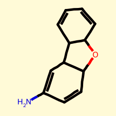 NC1=CC2C(C=C1)OC1C=CC=CC12